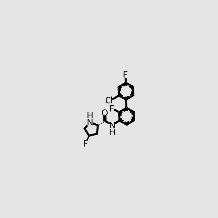 O=C(Nc1cccc(-c2ccc(F)cc2Cl)c1F)[C@@H]1C[C@@H](F)CN1